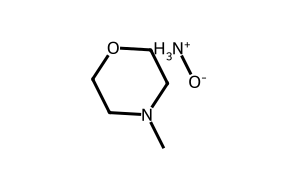 CN1CCOCC1.[NH3+][O-]